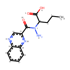 CCCC(C(=O)O)N(N)C(=O)c1cnc2ccccc2n1